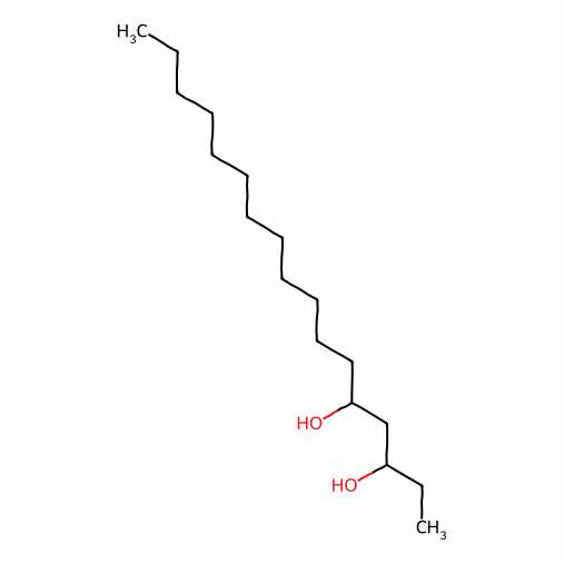 CCCCCCCCCCCCC(O)CC(O)CC